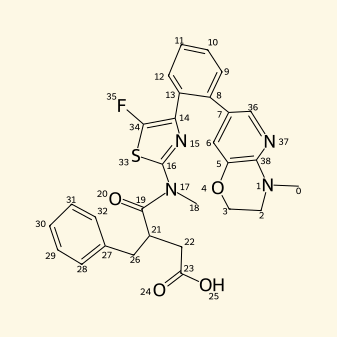 CN1CCOc2cc(-c3ccccc3-c3nc(N(C)C(=O)C(CC(=O)O)Cc4ccccc4)sc3F)cnc21